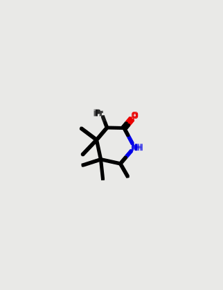 CC(C)C1C(=O)NC(C)C(C)(C)C1(C)C